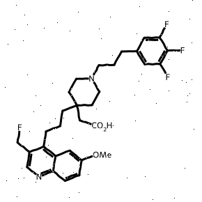 COc1ccc2ncc(CF)c(CCCC3(CC(=O)O)CCN(CCCc4cc(F)c(F)c(F)c4)CC3)c2c1